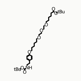 CC(C)(C)OC(=O)CCCCCOCCOCCOCCCCCCOc1ccc(CCNC(=O)OC(C)(C)C)cc1